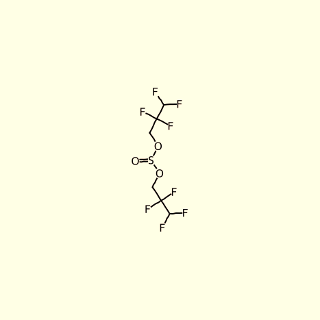 O=S(OCC(F)(F)C(F)F)OCC(F)(F)C(F)F